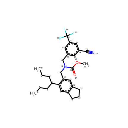 CCCC(CCC)c1cc2c(cc1CN(Cc1cc(C#N)cc(C(F)(F)F)c1)C(=O)OC)CCC2